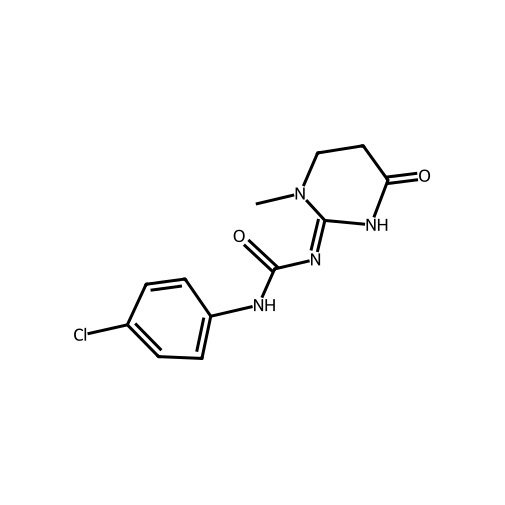 CN1CCC(=O)NC1=NC(=O)Nc1ccc(Cl)cc1